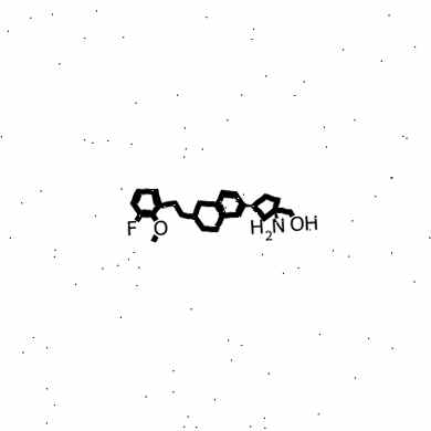 COc1c(F)cccc1CCC1CCc2cc([C@H]3CC[C@](N)(CO)C3)ccc2C1